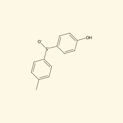 Cc1ccc([S+]([O-])c2ccc(O)cc2)cc1